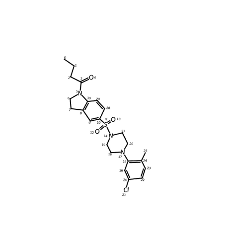 CCCC(=O)N1CCc2cc(S(=O)(=O)N3CCN(c4cc(Cl)ccc4C)CC3)ccc21